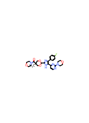 CC1(C(=O)N2CCOCC2)COC(c2nc(-c3ccc(F)cc3)c(-c3ccnc(N4CCOCC4)n3)[nH]2)OC1